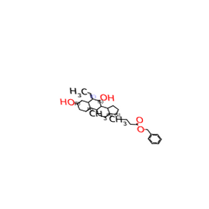 C/C=C1\C2C[C@H](O)CC[C@]2(C)C2CC[C@@]3(C)C(CC[C@@H]3CCCC(=O)OCc3ccccc3)C2[C@@H]1O